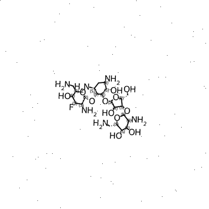 NC[C@@H]1O[C@H](O[C@H]2[C@@H](O)[C@H](O[C@@H]3[C@@H](O)[C@H](N)C[C@H](N)[C@H]3O[C@H]3O[C@H](CN)[C@@H](O)[C@@H](F)[C@H]3N)O[C@@H]2CO)[C@H](N)[C@@H](O)[C@@H]1O